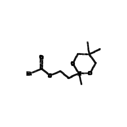 CCC(=O)OCC[Si]1(C)OCC(C)(C)CO1